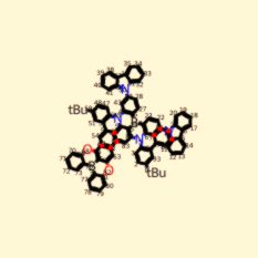 CC(C)(C)c1ccc(N2c3cc(-n4c5ccccc5c5ccccc54)ccc3B3c4ccc(-n5c6ccccc6c6ccccc65)cc4N(c4ccc(C(C)(C)C)cc4-c4ccccc4)c4cc(-c5cc6c7c(c5)Oc5ccccc5B7c5ccccc5O6)cc2c43)c(-c2ccccc2)c1